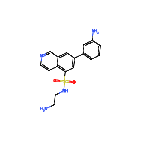 NCCNS(=O)(=O)c1cc(-c2cccc(N)c2)cc2cnccc12